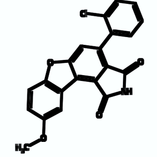 COc1ccc2oc3cc(-c4ccccc4Cl)c4c(c3c2c1)C(=O)NC4=O